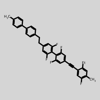 CCc1cc(C)c(F)cc1C#Cc1cc(F)c(-c2c(F)cc(CCc3ccc(-c4ccc(C)cc4)cc3)cc2F)c(F)c1